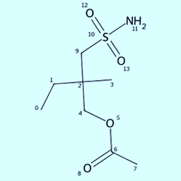 CCC(C)(COC(C)=O)CS(N)(=O)=O